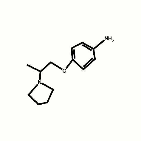 CC(COc1ccc(N)cc1)N1CCCC1